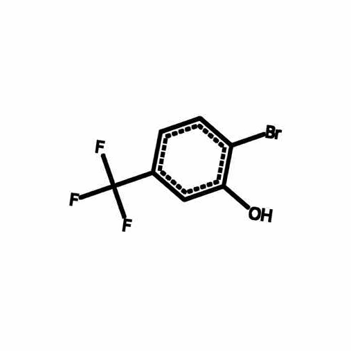 Oc1cc(C(F)(F)F)ccc1Br